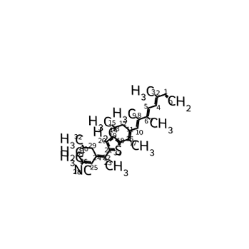 C=C/C(C)=C/C=C(C)/C(C)=C/C(CC(=C)C)=C(\C)c1ccc(/C(C)=C(/C=C(\C)C#N)CC(=C)C)s1